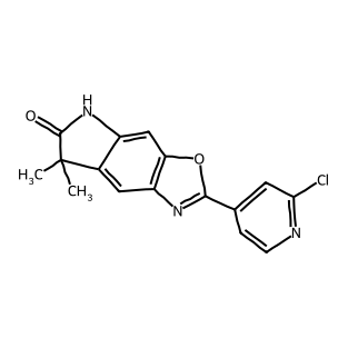 CC1(C)C(=O)Nc2cc3oc(-c4ccnc(Cl)c4)nc3cc21